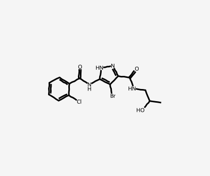 CC(O)CNC(=O)c1n[nH]c(NC(=O)c2ccccc2Cl)c1Br